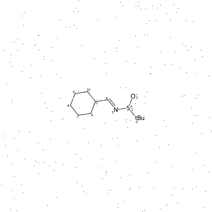 CC(C)(C)[S+]([O-])/N=C/C1CCCCC1